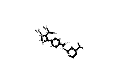 CC(C)c1ccnc(NC(=O)c2ccc(-c3ncn(N)c3C(N)=O)cc2)c1